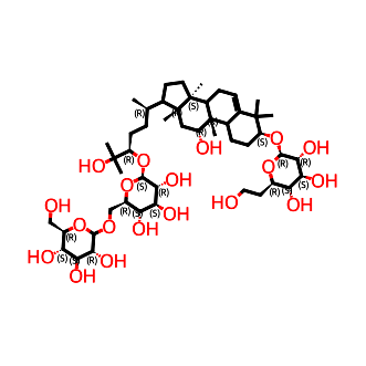 C[C@H](CC[C@@H](O[C@@H]1O[C@H](COC2O[C@H](CO)[C@@H](O)[C@H](O)[C@H]2O)[C@@H](O)[C@H](O)[C@H]1O)C(C)(C)O)C1CC[C@@]2(C)C3CC=C4C(CC[C@H](O[C@@H]5O[C@H](CCO)[C@@H](O)[C@H](O)[C@H]5O)C4(C)C)[C@]3(C)[C@H](O)C[C@]12C